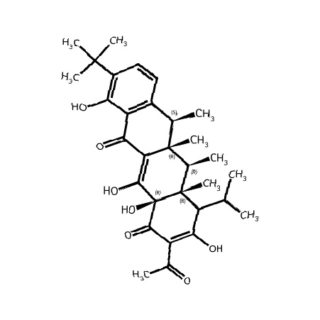 CC(=O)C1=C(O)C(C(C)C)[C@@]2(C)[C@H](C)[C@]3(C)C(=C(O)[C@@]2(O)C1=O)C(=O)c1c(ccc(C(C)(C)C)c1O)[C@H]3C